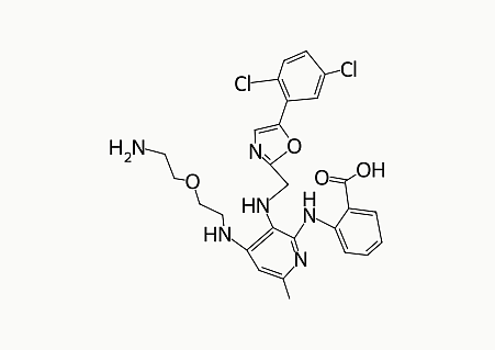 Cc1cc(NCCOCCN)c(NCc2ncc(-c3cc(Cl)ccc3Cl)o2)c(Nc2ccccc2C(=O)O)n1